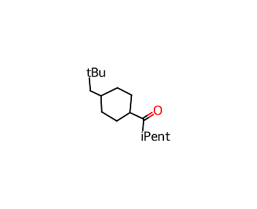 CCCC(C)C(=O)C1CCC(CC(C)(C)C)CC1